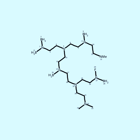 BN(B)CCN(CCN(B)CCNC)CCN(B)CCN(CCN(C)C)CCN(B)F